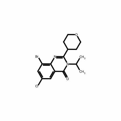 CC(C)n1c(C2CCOCC2)nc2c(Br)cc(Cl)cc2c1=O